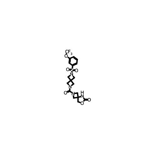 O=C1NC2(CO1)CN(C(=O)N1CC3(C1)CN(S(=O)(=O)c1cccc(OC(F)(F)F)c1)C3)C2